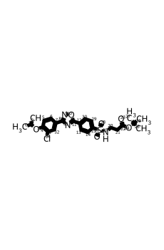 CC(C)Oc1ccc(-c2noc(-c3ccc(S(=O)(=O)NCCC(=O)OC(C)(C)C)cc3)n2)cc1Cl